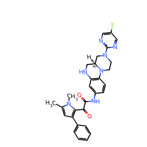 Cc1cc(-c2ccccc2)c(C(=O)C(=O)Nc2ccc3c(c2)NC[C@@H]2CN(c4ncc(F)cn4)CCN32)n1C